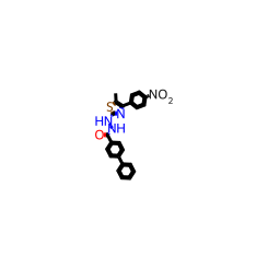 Cc1sc(NNC(=O)c2ccc(-c3ccccc3)cc2)nc1-c1ccc([N+](=O)[O-])cc1